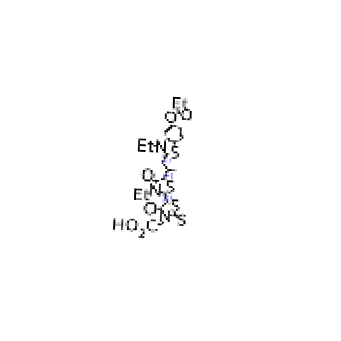 CCC(=O)Oc1ccc2c(c1)N(CC)/C(=C/C(C)=c1/s/c(=C3\SC(=S)N(CC(=O)O)C3=O)n(CC)c1=O)S2